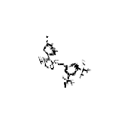 Fc1cccc([C@@H]2NCCO[C@H]2OCCc2cc(C(F)(F)F)cc(C(F)(F)F)c2)c1